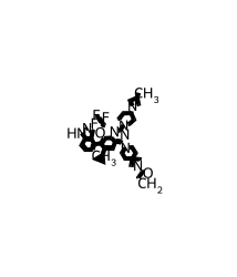 C=CC(=O)N1CC2(CCN(c3nc(N4CCC(N5CC(C)C5)CC4)nc4c(OCC(F)(F)F)c(-c5c(C)ccc6[nH]ncc56)c(C5CC5)cc34)CC2)C1